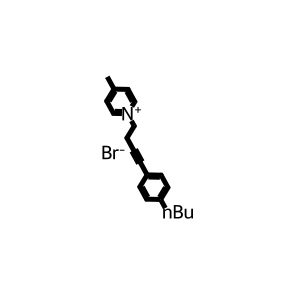 CCCCc1ccc(C#CCC[n+]2ccc(C)cc2)cc1.[Br-]